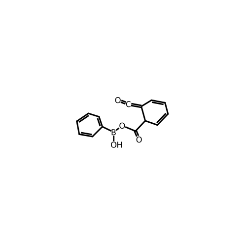 O=C=C1C=CC=CC1C(=O)OB(O)c1ccccc1